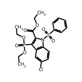 CCOC(=O)c1c(P(=O)(OCC)OCC)c2cc(Cl)ccc2n1S(=O)(=O)c1ccccc1